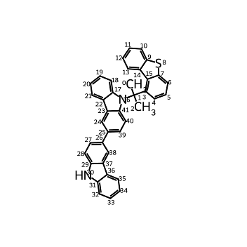 CC(C)(c1cccc2sc3ccccc3c12)n1c2ccccc2c2cc(-c3ccc4[nH]c5ccccc5c4c3)ccc21